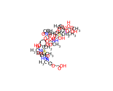 C=C(NC(=O)OC)C(=O)C[C@@]1(O)C#C/C=C\C#C[C@H](OC2OC(C)C(NOC3CC(O)C(SC(=O)c4c(C)c(I)c(OC5OC(C)C(O)C(OC)C5O)c(OC)c4OC)C(C)O3)C(O)C2OC2CC(OC)C(N(CC)C(C)=O)CO2)C(=C)/C1=C\CSSC(C)(C)CC(=O)N/N=C(\C)c1ccc(OCCCC(=O)O)cc1